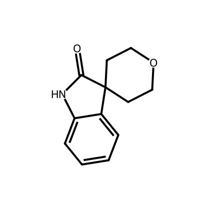 O=C1Nc2ccccc2C12CCOCC2